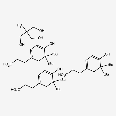 CC(C)(C)C1(C(C)(C)C)CC(CCC(=O)O)=CC=C1O.CC(C)(C)C1(C(C)(C)C)CC(CCC(=O)O)=CC=C1O.CC(C)(C)C1(C(C)(C)C)CC(CCC(=O)O)=CC=C1O.CC(CO)(CO)CO